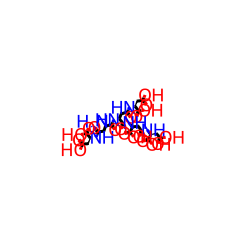 N[C@H](CC(=O)N[C@@H](CC(=O)O)C(=O)O)C(=O)NC(CC(=O)N[C@@H](CC(=O)O)C(=O)O)C(=O)NC(CC(=O)N[C@@H](CC(=O)O)C(=O)O)C(=O)O